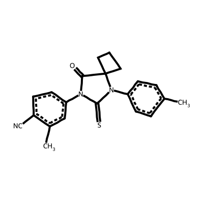 Cc1ccc(N2C(=S)N(c3ccc(C#N)c(C)c3)C(=O)C23CCC3)cc1